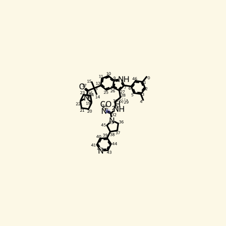 Cc1cc(C)cc(-c2[nH]c3ccc(C(C)(C)C(=O)N4C5CCC4CC5)cc3c2[C@H](C)CN/C(=N\C(=O)O)N2CCC(c3ccncc3)C2)c1